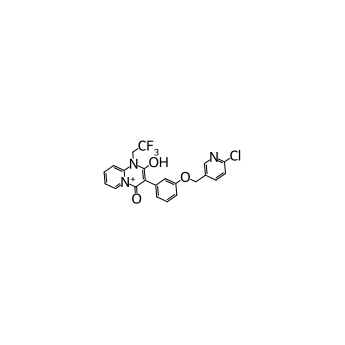 O=c1c(-c2cccc(OCc3ccc(Cl)nc3)c2)c(O)n(CC(F)(F)F)c2cccc[n+]12